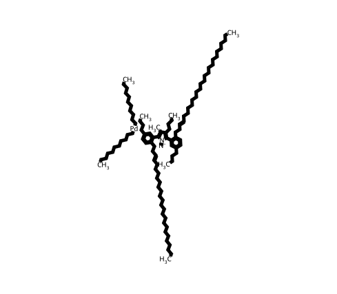 CCCCCCCCCCCCCCCCCCCCCCC=CCCc1ccc(CCCC)cc1C1=C(C)C(CCCC)=C(c2cc(CCCC)ccc2CCC=CCCCCCCCCCCCCCCCCCCCCCC)[N+]1=[N-].CCCCCCCCCC[CH2][Pd][CH2]CCCCCCCCCC